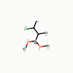 CCO[SiH](OCC)C(CC)C(C)Cl